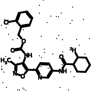 [2H]C1CCCCC1C(=O)Nc1ccc(-c2onc(C)c2NC(=O)OCc2ccccc2Cl)nc1